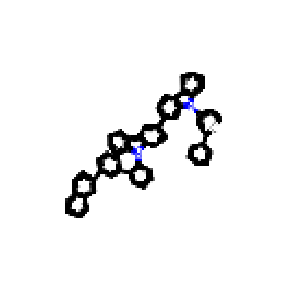 c1ccc(-c2cccc(-n3c4ccccc4c4ccc(-c5ccc6c(c5)c5ccccc5n6-c5ccccc5-c5cccc(-c6ccc7ccccc7c6)c5)cc43)c2)cc1